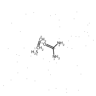 C=C.NC(N)=O.S